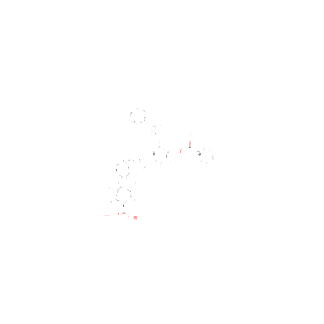 Cc1ccc(OCc2ccc(COC(=O)c3ccccc3)c(COC(=O)c3ccccc3)c2)cc1-c1c(C)cc(C(=O)O)cc1C